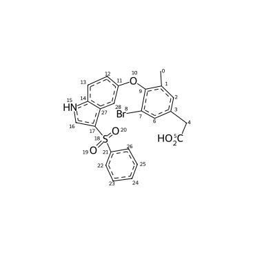 Cc1cc(CC(=O)O)cc(Br)c1Oc1ccc2[nH]cc(S(=O)(=O)c3ccccc3)c2c1